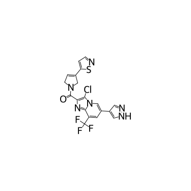 O=C(c1nc2c(C(F)(F)F)cc(-c3cn[nH]c3)cn2c1Cl)N1CC=C(c2ccns2)C1